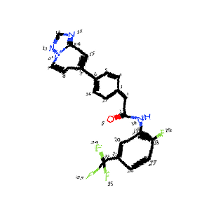 O=C(Cc1ccc(-c2ccn3ncnc3c2)cc1)Nc1cc(C(F)(F)F)ccc1F